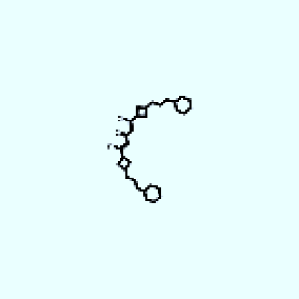 O=C(C=C(Cl)C1CC(CCCC2CCCCC2)C1)C=C(Cl)C1CC(CCCC2CCCCC2)C1